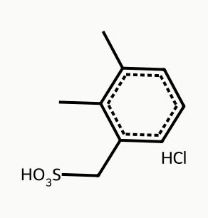 Cc1cccc(CS(=O)(=O)O)c1C.Cl